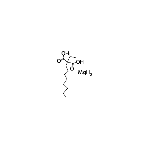 CCCCCCCCC(C(=O)O)(C(=O)O)C(C)C.[MgH2]